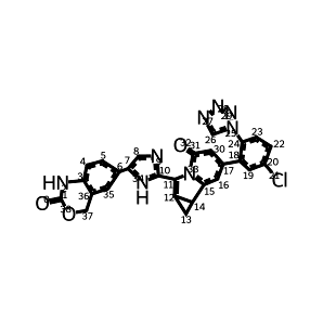 O=C1Nc2ccc(-c3cnc(C4=C5CC5c5cc(-c6cc(Cl)ccc6-n6cnnn6)cc(=O)n54)[nH]3)cc2CO1